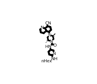 CCCCCCNc1ccc(NC(=O)N2C[C@H](C)N(c3ccc(C#N)c4ncccc34)C[C@H]2C)cn1